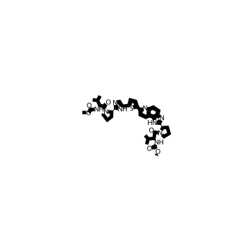 COC(=O)N[C@H](C(=O)N1CCC[C@H]1c1ncc(-c2ccc(-c3ccc4c(ccc5nc([C@@H]6CCCN6C(=O)[C@@H](NC(=O)OC)C(C)C)[nH]c54)n3)s2)[nH]1)C(C)C